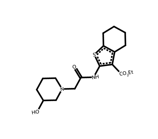 CCOC(=O)c1c(NC(=O)CN2CCCC(O)C2)sc2c1CCCC2